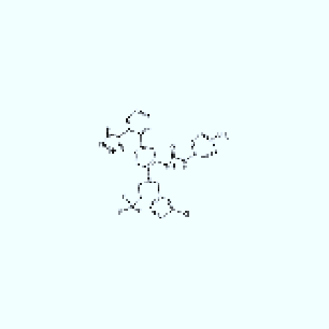 Cc1ccc(NC(=O)Nc2cc(-c3ccccc3-c3nnn[nH]3)ccc2N(CCC(F)(F)F)Cc2cccc(Cl)c2)cc1